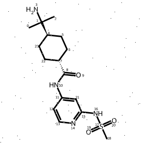 CC(C)(N)[C@H]1CC[C@H](C(=O)Nc2ccnc(NS(C)(=O)=O)c2)CC1